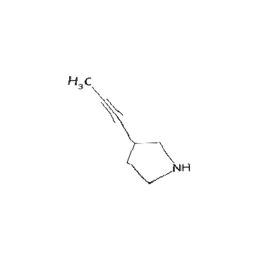 CC#CC1CCNC1